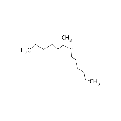 CCCCCC[CH]C(C)CCCCC